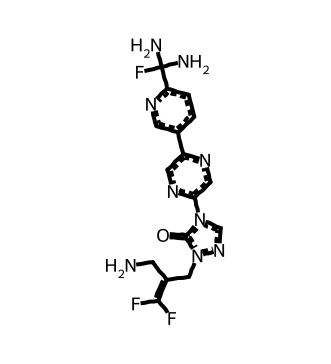 NCC(Cn1ncn(-c2cnc(-c3ccc(C(N)(N)F)nc3)cn2)c1=O)=C(F)F